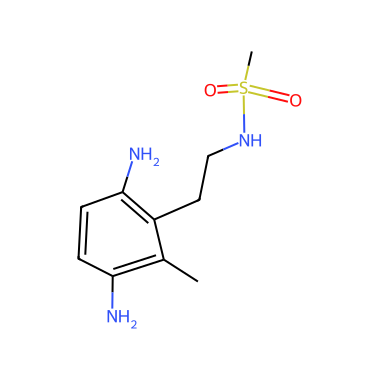 Cc1c(N)ccc(N)c1CCNS(C)(=O)=O